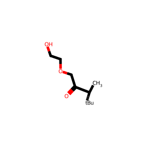 CC(C(=O)COCCO)C(C)(C)C